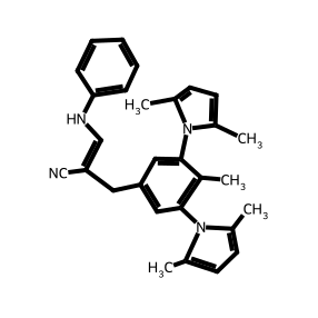 Cc1c(-n2c(C)ccc2C)cc(CC(C#N)=CNc2ccccc2)cc1-n1c(C)ccc1C